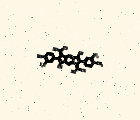 Cc1ccc(C2=C(C#N)c3cc4c(cc3C2=C(C#N)C#N)C(C#N)=C(c2ccc(C#N)c(C(F)(F)F)c2)C4=C(C#N)C#N)cc1C(F)(F)F